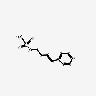 CS(=O)(=O)OCC/C=C/c1ccccc1